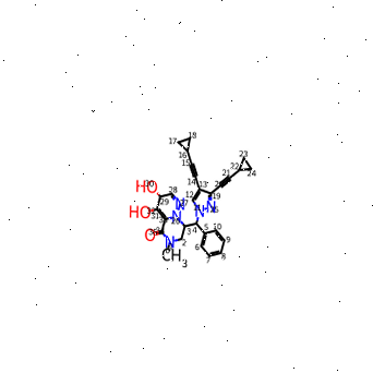 CN1CC(C(c2ccccc2)n2cc(C#CC3CC3)c(C#CC3CC3)n2)N2N=CC(O)C(O)=C2C1=O